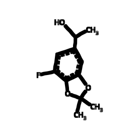 CC(O)c1cc(F)c2c(c1)OC(C)(C)O2